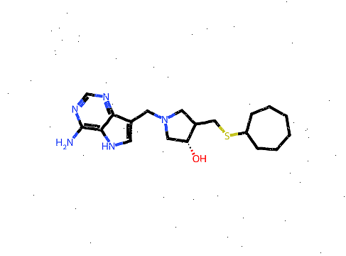 Nc1ncnc2c(CN3CC(CSC4CCCCCC4)[C@H](O)C3)c[nH]c12